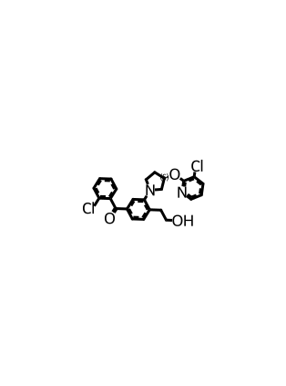 O=C(c1ccc(CCO)c(N2CC[C@H](Oc3ncccc3Cl)C2)c1)c1ccccc1Cl